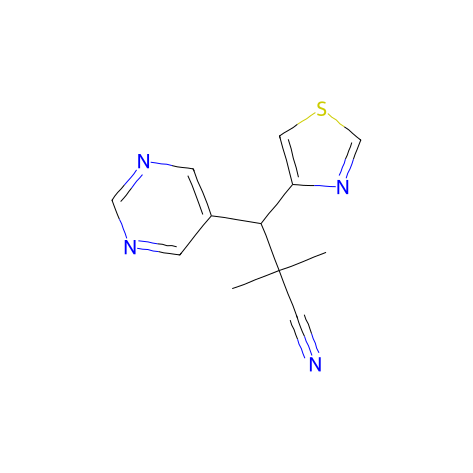 CC(C)(C#N)C(c1cncnc1)c1cscn1